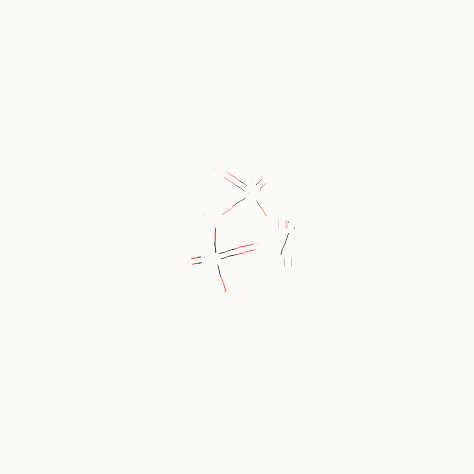 [CH3][Na].[O]=[Cr](=[O])([OH])[O][Cr](=[O])(=[O])[OH]